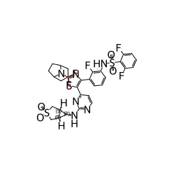 O=S1(=O)C[C@@H]2[C@H](C1)[C@H]2Nc1nccc(-c2sc(N3C4CCC3CC(F)(F)C4)nc2-c2cccc(NS(=O)(=O)c3c(F)cccc3F)c2F)n1